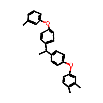 Cc1cccc(Oc2ccc(C(C)c3ccc(Oc4ccc(C)c(C)c4)cc3)cc2)c1